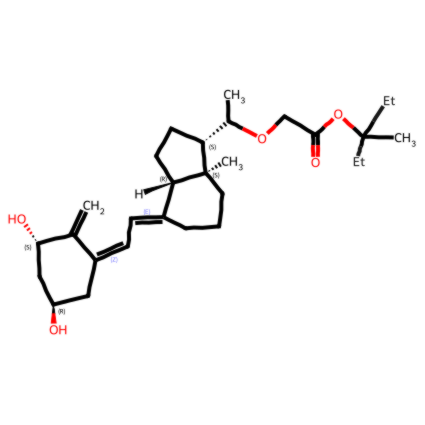 C=C1/C(=C\C=C2/CCC[C@]3(C)[C@@H](C(C)OCC(=O)OC(C)(CC)CC)CC[C@@H]23)C[C@@H](O)C[C@@H]1O